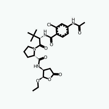 CCO[C@@H]1OC(=O)C[C@@H]1NC(=O)[C@@H]1CCCN1C(=O)[C@@H](NC(=O)c1ccc(NC(C)=O)cc1Cl)C(C)(C)C